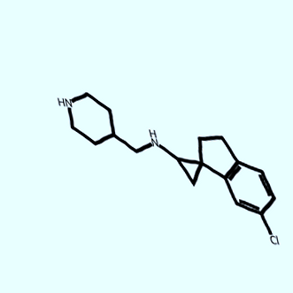 Clc1ccc2c(c1)C1(CC2)CC1NCC1CCNCC1